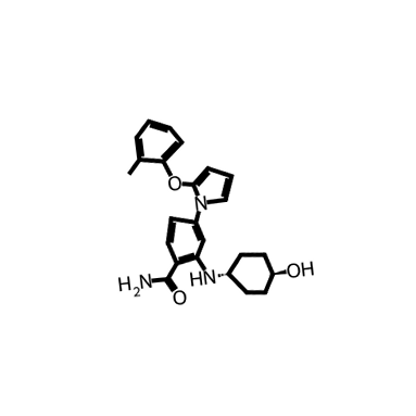 Cc1ccccc1Oc1cccn1-c1ccc(C(N)=O)c(N[C@H]2CC[C@H](O)CC2)c1